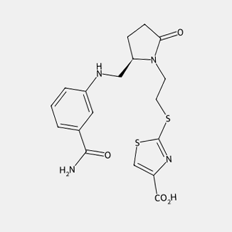 NC(=O)c1cccc(NC[C@H]2CCC(=O)N2CCSc2nc(C(=O)O)cs2)c1